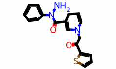 NN(C(=O)C1=CN(CC(=O)c2cccs2)C=CC1)c1ccccc1